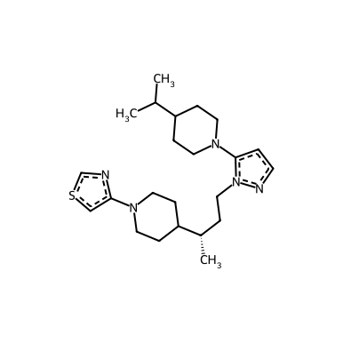 CC(C)C1CCN(c2ccnn2CC[C@H](C)C2CCN(c3cscn3)CC2)CC1